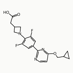 O=C(O)CC1CN(c2c(F)cc(-c3nccc(OCC4CC4)n3)cc2F)C1